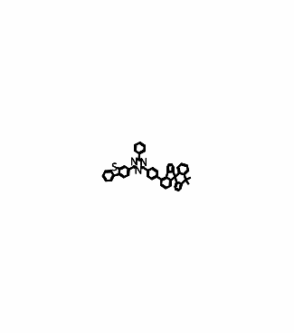 CC1(C)c2ccccc2C2(c3ccccc3-c3c(-c4ccc(-c5nc(-c6ccccc6)nc(-c6ccc7c(c6)sc6ccccc67)n5)cc4)cccc32)c2ccccc21